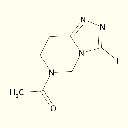 CC(=O)N1CCc2nnc(I)n2C1